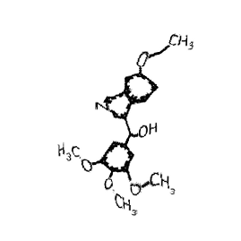 CCOc1ccc2c(C(O)c3cc(OC)c(OC)c(OC)c3)cncc2c1